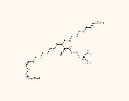 CCCCC/C=C\C/C=C\CCCCCCCCC(CCCCCCC/C=C/CCCCCCCC)C(=O)OCCCN(C)C